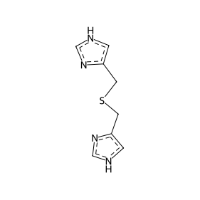 c1nc(CSCc2c[nH]cn2)c[nH]1